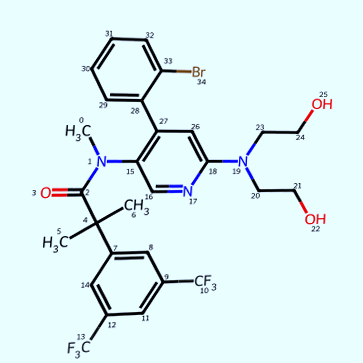 CN(C(=O)C(C)(C)c1cc(C(F)(F)F)cc(C(F)(F)F)c1)c1cnc(N(CCO)CCO)cc1-c1ccccc1Br